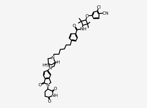 CC1(C)C(NC(=O)c2ccc(CCCCCCN3C[C@@H]4C[C@H]3CN4c3ccc4c(c3)CN(C3CCC(=O)NC3=O)C4=O)cc2)C(C)(C)C1Oc1ccc(C#N)c(Cl)c1